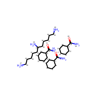 NC(=O)C1CCCCC1.NC(=O)C1CCCCC1.NC(=O)C1CCCCC1.NCCCCCC(N)CCCCCN